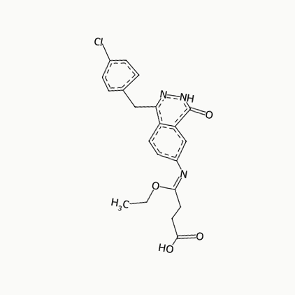 CCOC(CCC(=O)O)=Nc1ccc2c(Cc3ccc(Cl)cc3)n[nH]c(=O)c2c1